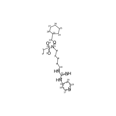 CCS(=O)(=O)N(CCCCCNC(=N)Nc1ccncc1)OCC1CCCCC1